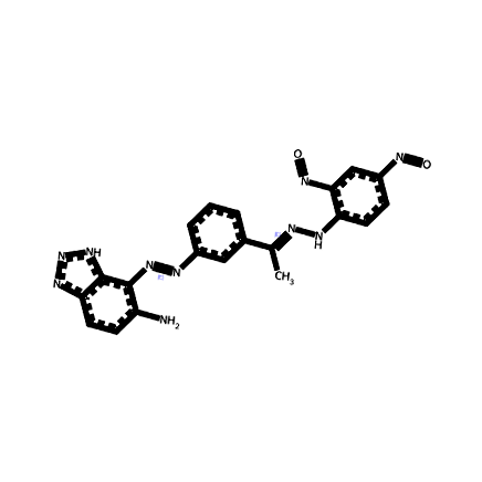 C/C(=N\Nc1ccc(N=O)cc1N=O)c1cccc(/N=N/c2c(N)ccc3nn[nH]c23)c1